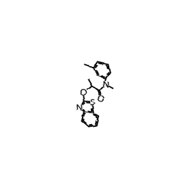 Cc1cccc(N(C)C(=O)C(C)Oc2nc3ccccc3s2)c1